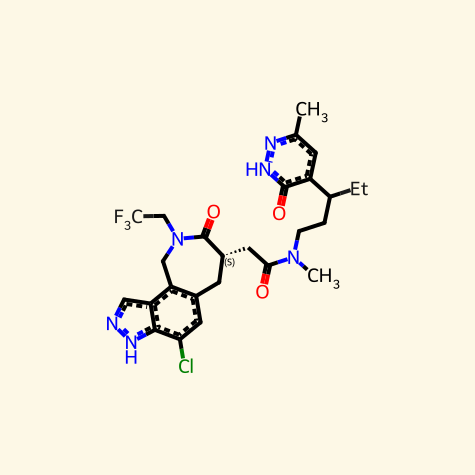 CCC(CCN(C)C(=O)C[C@@H]1Cc2cc(Cl)c3[nH]ncc3c2CN(CC(F)(F)F)C1=O)c1cc(C)n[nH]c1=O